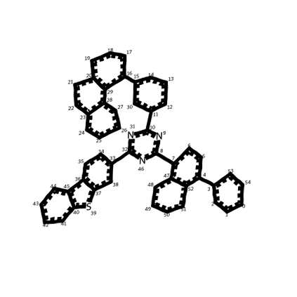 c1ccc(-c2ccc(-c3nc(-c4cccc(-c5cccc6ccc7ccccc7c56)c4)nc(-c4ccc5c(c4)sc4ccccc45)n3)c3ccccc23)cc1